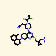 C=C(F)C(=O)N1CCN(c2nc(OCC3(CN(C)C)CC3)nc3c2CCN(c2cccc4cccc(C)c24)C3)CC1CC#N